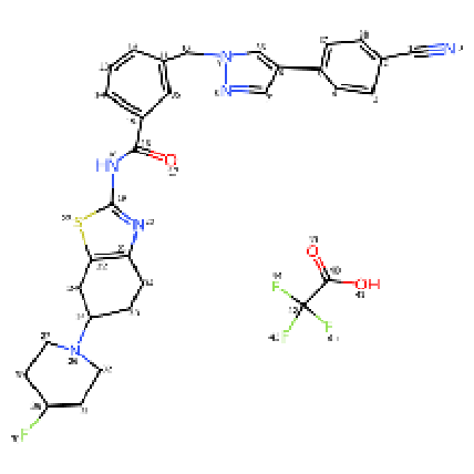 N#Cc1ccc(-c2cnn(Cc3cccc(C(=O)Nc4nc5c(s4)CC(N4CCC(F)CC4)CC5)c3)c2)cc1.O=C(O)C(F)(F)F